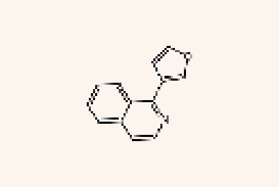 c1ccc2c(-c3ccoc3)nccc2c1